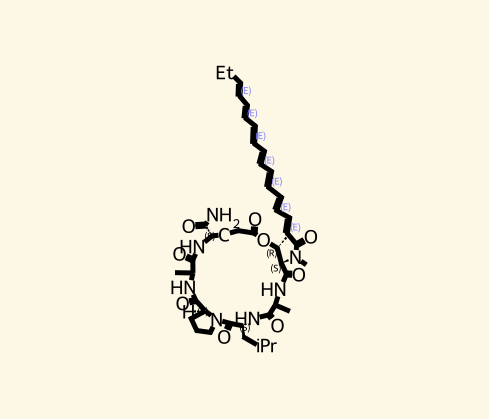 CC/C=C/C=C/C=C/C=C/C=C/C=C/C=C/C(=O)N(C)[C@@H]1C(=O)NC(C)C(=O)N[C@@H](CC(C)C)C(=O)N2CCC[C@H]2C(=O)NC(C)C(=O)N[C@H](C(N)=O)CCC(=O)O[C@@H]1C